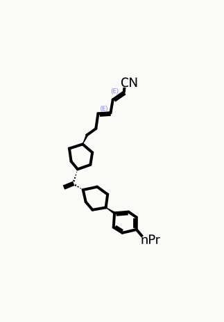 C=C([C@H]1CC[C@H](CC/C=C/C=C/C#N)CC1)[C@H]1CC[C@H](c2ccc(CCC)cc2)CC1